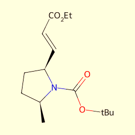 CCOC(=O)/C=C/[C@@H]1CC[C@H](C)N1C(=O)OC(C)(C)C